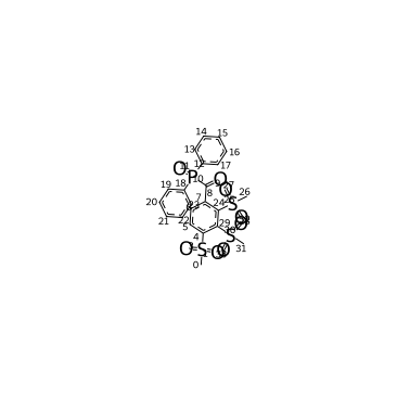 CS(=O)(=O)c1ccc(C(=O)P(=O)(c2ccccc2)c2ccccc2)c(S(C)(=O)=O)c1S(C)(=O)=O